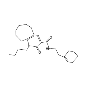 CCCCn1c2c(cc(C(=O)NCCC3=CCCCC3)c1=O)CCCCCC2